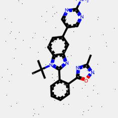 Cc1noc(-c2ccccc2-c2nc3cc(-c4cnc(N)nc4)ccc3n2C(C)(C)C)n1